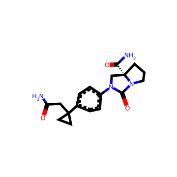 NC(=O)CC1(c2ccc(N3C[C@@]4(C(N)=O)[CH]CCN4C3=O)cc2)CC1